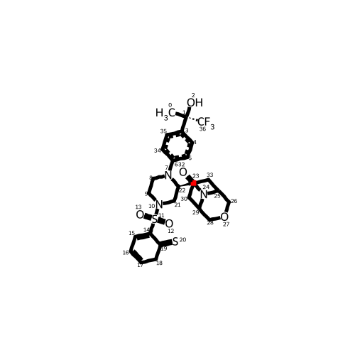 C[C@@](O)(c1ccc(N2CCN(S(=O)(=O)C3=CC=CCC3=S)C[C@@H]2CN2C3COCC2CC(=O)C3)cc1)C(F)(F)F